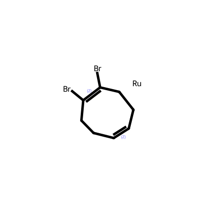 Br/C1=C(\Br)CC/C=C\CC1.[Ru]